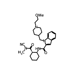 COCCN1CCC(Cn2c(C(=O)N[C@H]3CCCC[C@H]3C(=O)N(C)C#N)cc3ccccc32)CC1